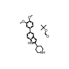 CC(C)(C)OC=O.COc1ccc(-c2ccc3[nH]c(C4CCNCC4)cc3c2)cc1OC